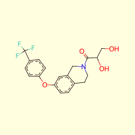 O=C(C(O)CO)N1CCc2ccc(Oc3ccc(C(F)(F)F)cc3)cc2C1